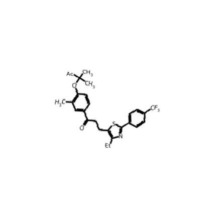 CCc1nc(-c2ccc(C(F)(F)F)cc2)sc1CCC(=O)c1ccc(OC(C)(C)C(C)=O)c(C)c1